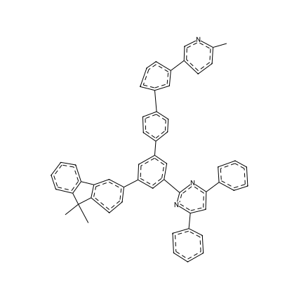 Cc1ccc(-c2cccc(-c3ccc(-c4cc(-c5ccc6c(c5)-c5ccccc5C6(C)C)cc(-c5nc(-c6ccccc6)cc(-c6ccccc6)n5)c4)cc3)c2)cn1